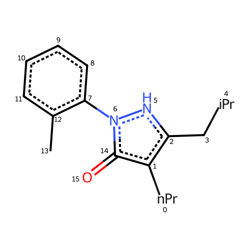 CCCc1c(CC(C)C)[nH]n(-c2ccccc2C)c1=O